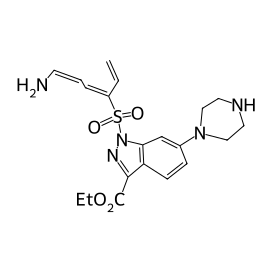 C=C/C(=C\C=C/N)S(=O)(=O)n1nc(C(=O)OCC)c2ccc(N3CCNCC3)cc21